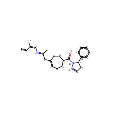 C=C/C(F)=C\N=C(/C)CC1=CCCC(C(=O)N2N=CCC2c2ccccc2)CC1